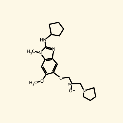 COc1cc2c(cc1OC[C@H](O)CN1CCCC1)nc(NC1CCCC1)n2C